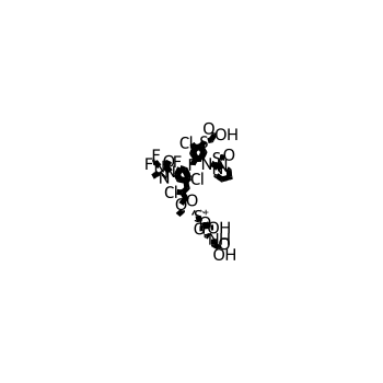 CCOC(=O)C(Cl)Cc1cc(-n2nc(C)n(C(F)F)c2=O)c(F)cc1Cl.C[S+](C)C.O=C(O)CNCP(=O)([O-])O.O=C(O)CSc1cc(N=c2sc(=O)n3n2CCCC3)c(F)cc1Cl